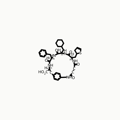 O=C1CCC(=O)N[C@H](CC2CC=CS2)C(=O)N[C@@H](CC2CCCCC2)C(=O)N[C@H](Cc2ccccc2)C(=O)N[C@H](C(=O)O)Cc2ccc(cc2)N1